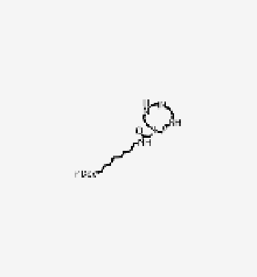 CCCCCCCCCCCCCCCCCCNC(=O)CN1CCNCCNCCNCC1